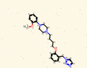 COc1ccccc1N1CCN(CCCCOc2ccccc2Cn2ccnn2)CC1